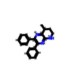 CC1CCNc2nc(-c3ccccc3)c(-c3ccccc3)nc21